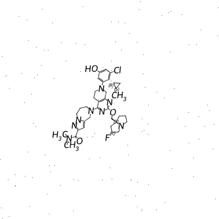 C[C@H]1C[C@H]1c1c(Cl)cc(O)cc1N1CCc2c(nc(OC[C@@]34CCCN3C[C@H](F)C4)nc2N2CCCn3nc(C(=O)N(C)C)cc3C2)C1